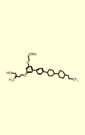 C=C(CO)CCOc1cc(OCCOC)cc(-c2ccc(C3CCC(C4CCC(CCC(F)(F)F)CC4)CC3)cc2)c1